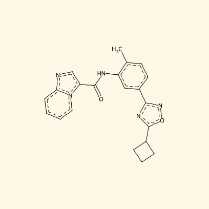 Cc1ccc(-c2noc(C3CCC3)n2)cc1NC(=O)c1cnc2ccccn12